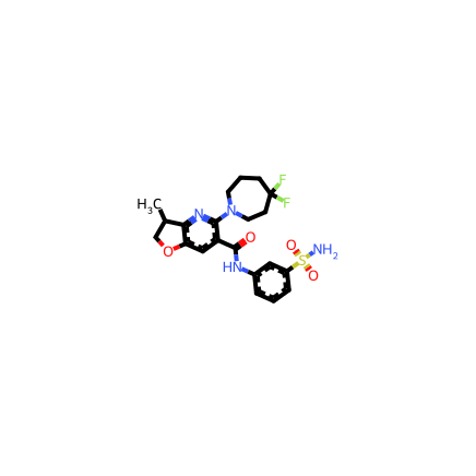 CC1COc2cc(C(=O)Nc3cccc(S(N)(=O)=O)c3)c(N3CCCC(F)(F)CC3)nc21